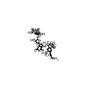 COc1cc([C@@H](OCc2cn([C@H]3C[C@@H](O)[C@@H](COP(=O)(O)OP(=O)(O)OP(=O)(O)O)O3)c3[nH]c(=O)nc(N)c23)C(C)(C)C)c([N+](=O)[O-])cc1C#CCN